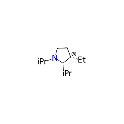 CC[C@H]1CCN(C(C)C)C1C(C)C